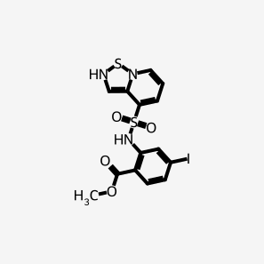 COC(=O)c1ccc(I)cc1NS(=O)(=O)C1=CC=CN2SNC=C12